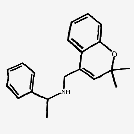 CC(NCC1=CC(C)(C)Oc2ccccc21)c1ccccc1